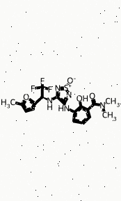 Cc1ccc([C@H](Nc2n[s+]([O-])nc2Nc2cccc(C(=O)N(C)C)c2O)C(F)(F)F)o1